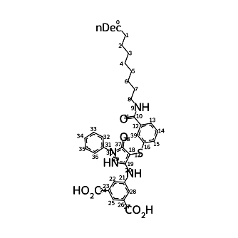 CCCCCCCCCCCCCCCCCCNC(=O)c1cccc(Sc2c(Nc3cc(C(=O)O)cc(C(=O)O)c3)[nH]n(-c3ccccc3)c2=O)c1